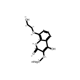 CCCCCCCOc1c(O)c2cccc(OCCO)c2oc1=O